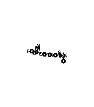 C[C@H](OCc1ccccc1)[C@H](C)n1ncn(-c2ccc(N3CCN(c4ccc(OC[C@@H]5CO[C@@](Cn6cncn6)(c6ccc(F)cc6F)C5)cc4)CC3)cc2)c1=O